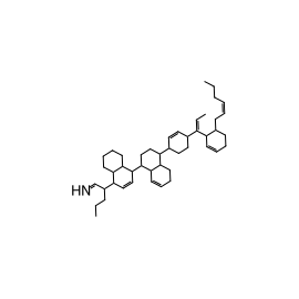 C/C=C(/C1C=CC(C2CCC(C3C=CC(C(C=N)CCC)C4CCCCC34)C3C=CCCC32)CC1)C1C=CCCC1C/C=C\CCC